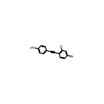 CCCc1ccc(C#Cc2ccc(Br)cc2Cl)cc1